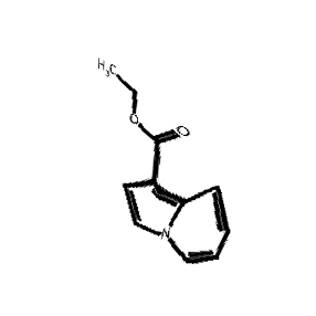 CCOC(=O)c1ccn2ccccc12